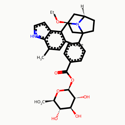 CCO[C@H]1C[C@H]2CCC(c3ccc(C(=O)O[C@@H]4O[C@H](C(=O)O)[C@@H](O)[C@H](O)[C@H]4O)cc3)(C1)N2Cc1c(OC)cc(C)c2[nH]ccc12